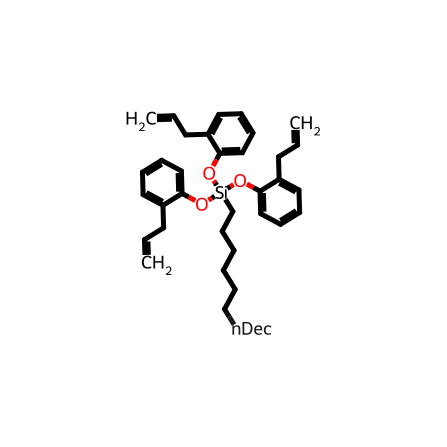 C=CCc1ccccc1O[Si](CCCCCCCCCCCCCCCC)(Oc1ccccc1CC=C)Oc1ccccc1CC=C